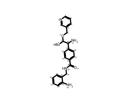 CCCCC(OCc1cccnc1)C(N)c1ccc(C(=O)NCc2ccccc2N)cc1